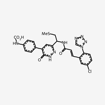 CSCC(NC(=O)C=Cc1cc(Cl)ccc1-n1cnnn1)c1cc(-c2ccc(NC(=O)O)cc2)c(=O)[nH]n1